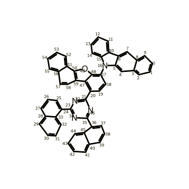 c1ccc2cc3c(cc2c1)c1ccccc1n3-c1ccc(-c2nc(-c3cccc4ccccc34)nc(-c3cccc4ccccc34)n2)c2c1oc1c3ccccc3ccc12